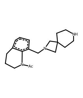 CC(=O)N1CCCc2cccc(CN3CC4(CCNCC4)C3)c21